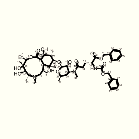 CC[C@H]1OC(=O)[C@@H]2C([C@@H](C)CN(C)[C@H](C)[C@@H](O)[C@]1(C)O)[C@@](C)(O)[C@H](O[C@@H]1O[C@H](C)C[C@H](N(C)C(=O)CC[C@@H](NC(=O)OCc3ccccc3)C(=O)OCc3ccccc3)[C@H]1O)[C@@H](C)[C@@H]2O